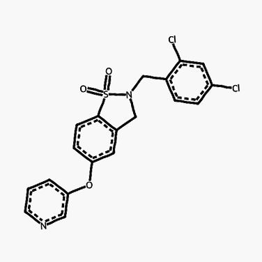 O=S1(=O)c2ccc(Oc3cccnc3)cc2CN1Cc1ccc(Cl)cc1Cl